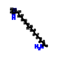 CC(N)CCCCCCCCCCCCCCC=CCC1=NCCN1